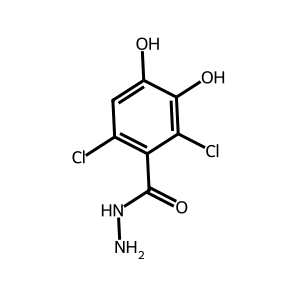 NNC(=O)c1c(Cl)cc(O)c(O)c1Cl